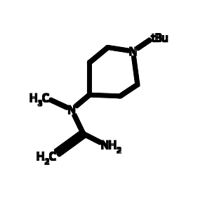 C=C(N)N(C)C1CCN(C(C)(C)C)CC1